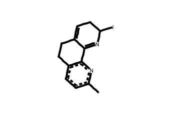 Cc1ccc2c(n1)C1=NC(I)CC=C1CC2